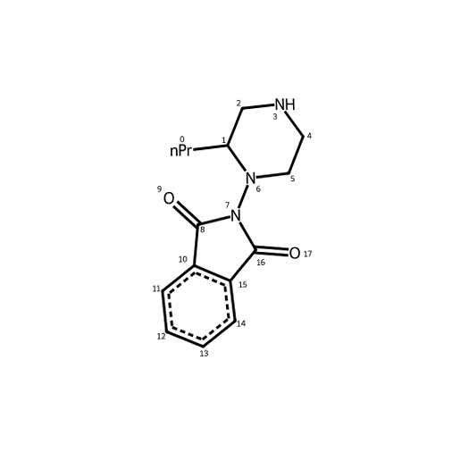 CCCC1CNCCN1N1C(=O)c2ccccc2C1=O